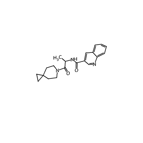 CC(NC(=O)c1cnc2ccccc2c1)C(=O)N1CCC2(CC1)CC2